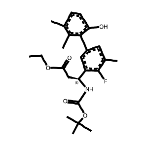 CCOC(=O)C[C@H](NC(=O)OC(C)(C)C)c1cc(-c2c(O)ccc(C)c2C)cc(C)c1F